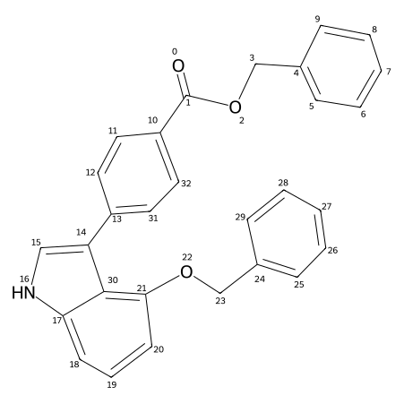 O=C(OCc1ccccc1)c1ccc(-c2c[nH]c3cccc(OCc4ccccc4)c23)cc1